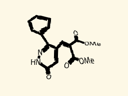 COC(=O)C(=Cc1cc(=O)[nH]nc1-c1ccccc1)C(=O)OC